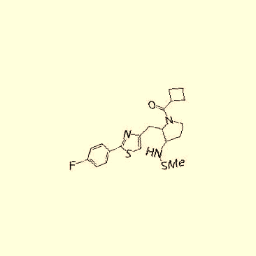 CSNC1CCN(C(=O)C2CCC2)C1Cc1csc(-c2ccc(F)cc2)n1